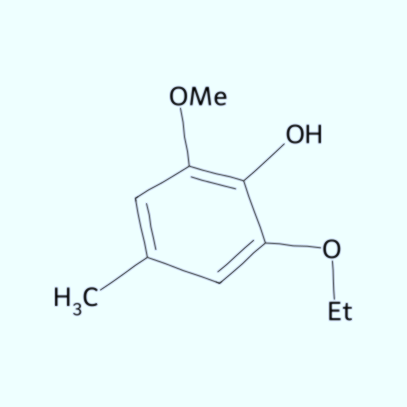 CCOc1cc(C)cc(OC)c1O